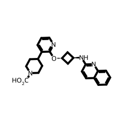 O=C(O)N1CCC(c2cccnc2O[C@H]2C[C@H](Nc3ccc4ccccc4n3)C2)CC1